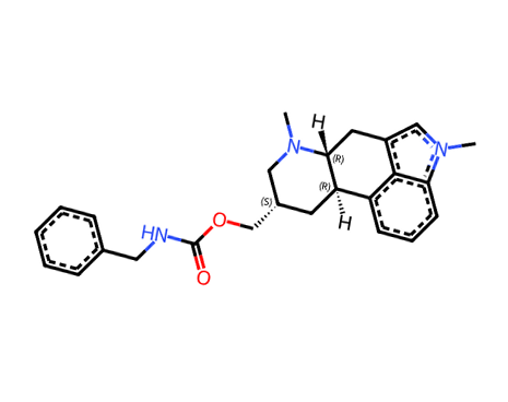 CN1C[C@@H](COC(=O)NCc2ccccc2)C[C@@H]2c3cccc4c3c(cn4C)C[C@H]21